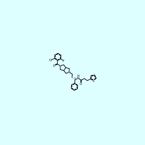 O=C(CCc1cccs1)N[C@@H](CCN1CC2CN(C(=O)c3c(F)cccc3Cl)CC2C1)c1ccccc1